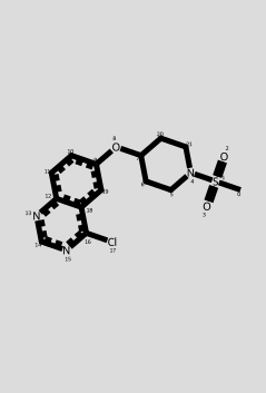 CS(=O)(=O)N1CCC(Oc2ccc3ncnc(Cl)c3c2)CC1